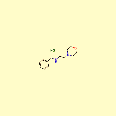 Cl.c1ccc(CNCCN2CCOCC2)cc1